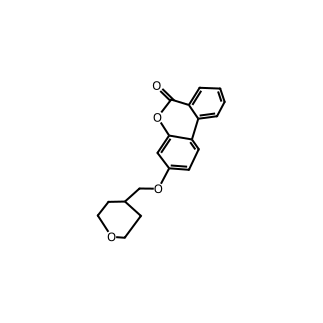 O=c1oc2cc(OCC3CCOCC3)ccc2c2ccccc12